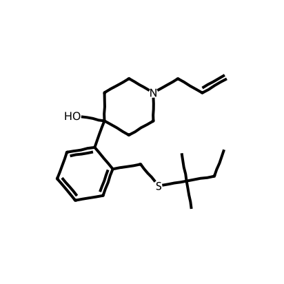 C=CCN1CCC(O)(c2ccccc2CSC(C)(C)CC)CC1